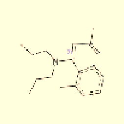 C=C(C)/C=C(\c1ccccc1C)N(CCC)CCC